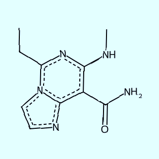 CCc1nc(NC)c(C(N)=O)c2nccn12